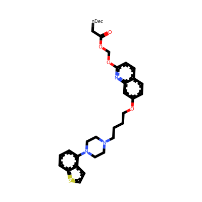 CCCCCCCCCCCC(=O)OCOc1ccc2ccc(OCCCCN3CCN(c4cccc5sccc45)CC3)cc2n1